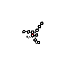 Cc1ccc2c3c(N(c4ccc(-c5ccc(-c6ccccc6)cc5)cc4)c4ccc(-c5ccc(-c6ccccc6)cc5)cc4)cccc3n(-c3ccc4sc5ccccc5c4c3)c2c1